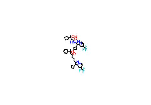 CC(CC(=O)CCCc1nn2ccc(C(F)(F)F)cc2c1C1CCC1)(OC1CC(c2c(NC(=O)CC(C)(O)C3CCCC3)nn3ccc(C(F)(F)F)cc23)C1)c1ccccc1